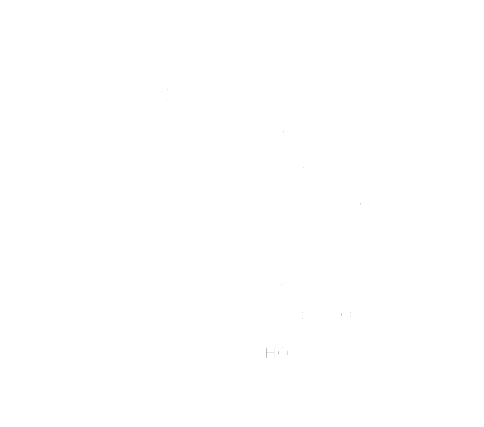 Cc1ccc(-c2ccco2)cc1C1=C(OC(=O)O)C(C)(C)OC(C)(C)C1=O